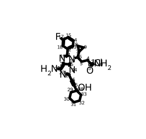 Cl.NC(=O)CCC(C1CC1)n1c(-c2cccc(F)c2)nc2c(N)nc(C#CC3(O)CCCCC3)nc21